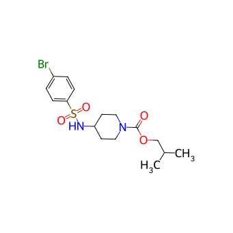 CC(C)COC(=O)N1CCC(NS(=O)(=O)c2ccc(Br)cc2)CC1